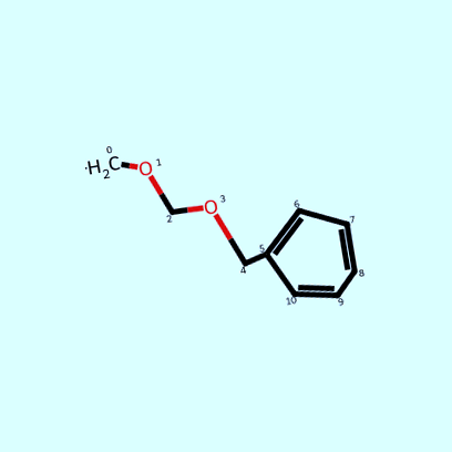 [CH2]OCOCc1ccccc1